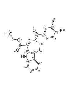 CCOC(=O)C1=CN(C(=O)c2ccc(F)c(F)c2)CCc2c1[nH]c1ccccc21